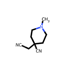 CN1CCC(C#N)(CC#N)CC1